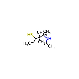 CCN[C@H](C)C(C)(C)C(S)CC